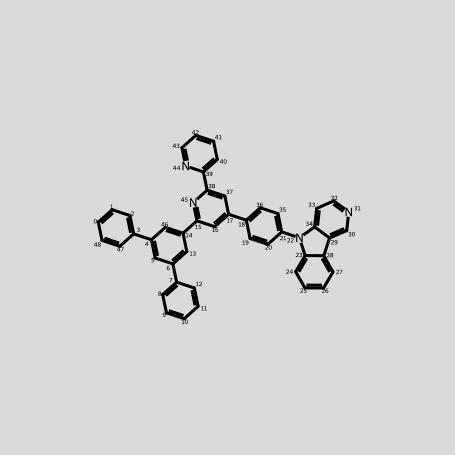 c1ccc(-c2cc(-c3ccccc3)cc(-c3cc(-c4ccc(-n5c6ccccc6c6cnccc65)cc4)cc(-c4ccccn4)n3)c2)cc1